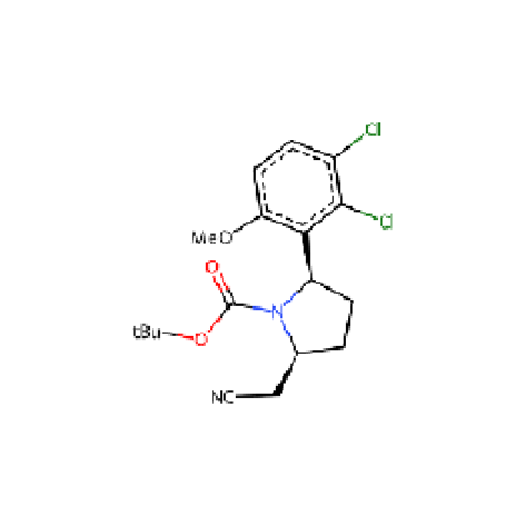 COc1ccc(Cl)c(Cl)c1[C@H]1CC[C@@H](CC#N)N1C(=O)OC(C)(C)C